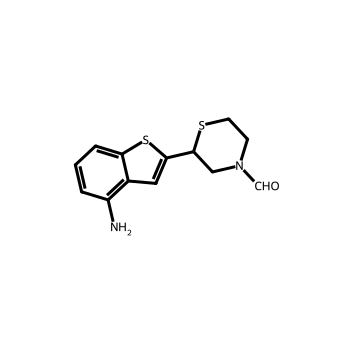 Nc1cccc2sc(C3CN(C=O)CCS3)cc12